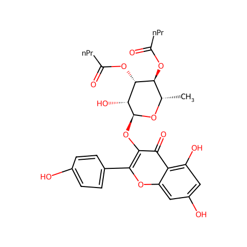 CCCC(=O)O[C@@H]1[C@@H](OC(=O)CCC)[C@@H](O)[C@H](Oc2c(-c3ccc(O)cc3)oc3cc(O)cc(O)c3c2=O)O[C@H]1C